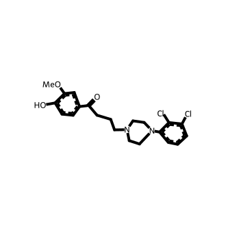 COc1cc(C(=O)CCCN2CCN(c3cccc(Cl)c3Cl)CC2)ccc1O